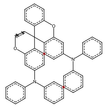 c1ccc(N(c2ccccc2)c2ccc3c(c2)Oc2ccccc2C32c3ccccc3Oc3cc(N(c4ccccc4)c4ccccc4)ccc32)cc1